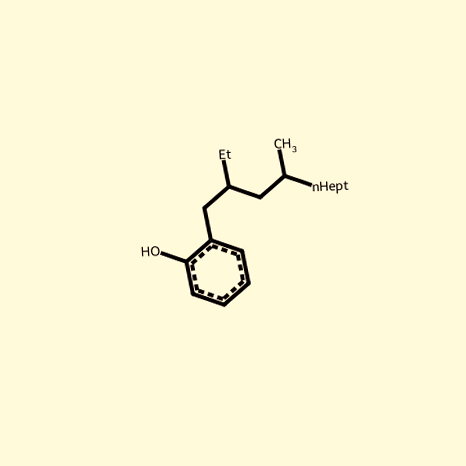 CCCCCCCC(C)CC(CC)Cc1ccccc1O